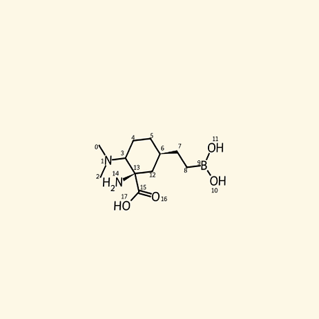 CN(C)C1CC[C@@H](CCB(O)O)C[C@]1(N)C(=O)O